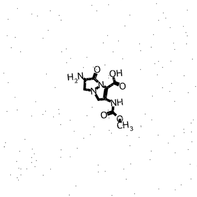 COC(=O)NC1=C(C(=O)O)N2C(=O)C(N)CN2C1